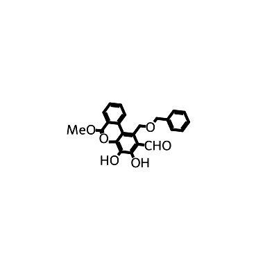 COC(=O)c1ccccc1-c1c(C)c(O)c(O)c(C=O)c1COCc1ccccc1